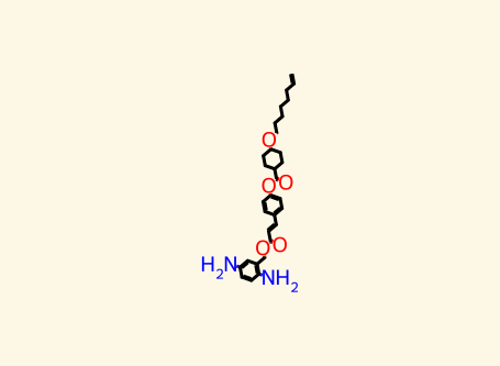 C=CCCCCCCOC1CCC(C(=O)Oc2ccc(/C=C/C(=O)OCc3cc(N)ccc3N)cc2)CC1